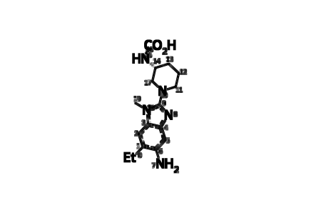 CCc1cc2c(cc1N)nc(N1CCC[C@@H](NC(=O)O)C1)n2C